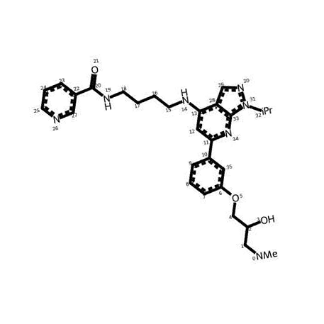 CNCC(O)COc1cccc(-c2cc(NCCCCNC(=O)c3cccnc3)c3cnn(C(C)C)c3n2)c1